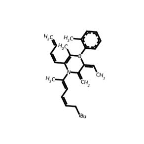 C=C/C=C\C1=C(C)B(c2ccccc2C)/C(=C/C)C(=C)N1/C(C)=C/C=C\CC(C)CC